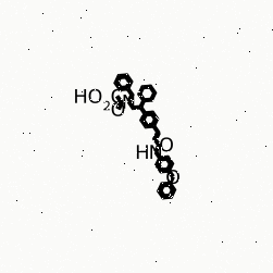 O=C(/C=C/c1ccc(C(CN(Cc2ccccc2)C(=O)C(=O)O)C2CCCCC2)cc1)Nc1ccc(Oc2ccccc2)cc1